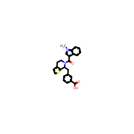 Cn1cc(C(=O)N2CCc3ccsc3C2Cc2cccc(C(=O)O)c2)c2ccccc21